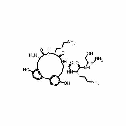 NCCC[C@H](NC(=O)[C@@H]1Cc2cc(ccc2O)-c2ccc(O)c(c2)C[C@H](N)C(=O)N[C@@H](CCCN)C(=O)N1)C(=O)N[C@@H](CN)CO